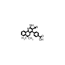 CC1(C)Cc2c(nc(N)c(C#N)c2-c2ccc(C(=O)O)cc2)-c2ccccc21